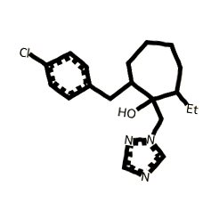 CCC1CCCCC(Cc2ccc(Cl)cc2)C1(O)Cn1cncn1